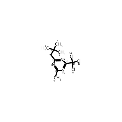 Cc1nc(CC(C)(C)C)nc(C(Cl)(Cl)Cl)n1